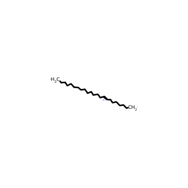 [CH2]CCCCCC/C=C/CCCCCCCCCCCCC[CH2]